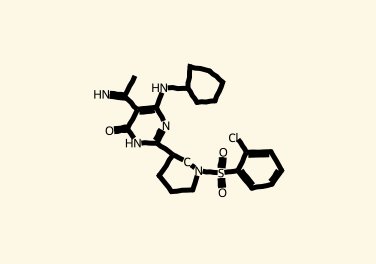 CC(=N)c1c(NC2CCCCC2)nc(C2CCCN(S(=O)(=O)c3ccccc3Cl)C2)[nH]c1=O